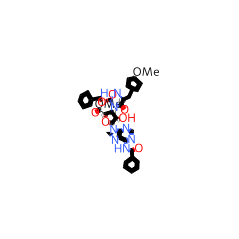 COC(=O)[C@H]1O[C@@H](n2cnc3c(NC(=O)c4ccccc4)ncnc32)[C@H](O)[C@@H]1N(C(=O)OCc1ccccc1)C(=O)[C@@H](N)Cc1ccc(OC)cc1